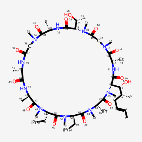 C/C=C/C[C@@H](C)[C@@H](O)[C@H]1C(=O)N[C@@H](CC)C(=O)N(C)CC(=O)N(C)[C@@H]([C@@H](C)O)C(=O)N[C@@H](C)C(=O)N(C)CC(=O)N[C@@H](C)C(=O)N[C@H](C)C(=O)N(C)[C@@H](CC(C)C)C(=O)N(C)[C@H](CC(C)C)C(=O)N(C)[C@@H](C(C)C)C(=O)N1C